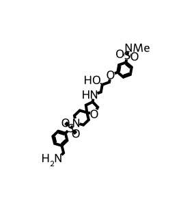 CNS(=O)(=O)c1cccc(OC[C@@H](O)CNC2COC3(CCN(S(=O)(=O)c4cccc(CN)c4)CC3)C2)c1